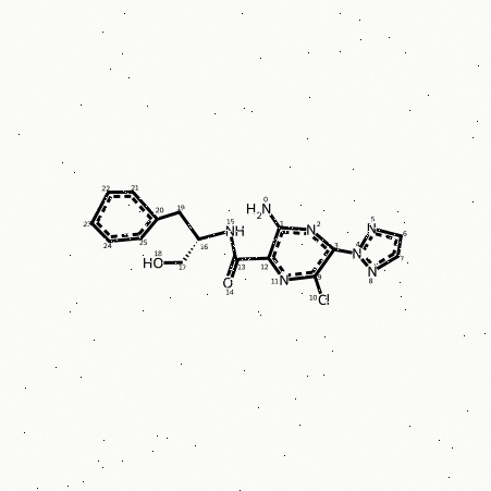 Nc1nc(-n2nccn2)c(Cl)nc1C(=O)N[C@H](CO)Cc1ccccc1